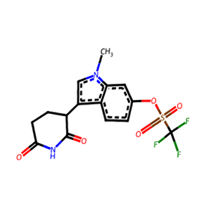 Cn1cc(C2CCC(=O)NC2=O)c2ccc(OS(=O)(=O)C(F)(F)F)cc21